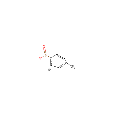 O=S([O-])c1ccc(C(F)(F)F)cc1.[K+]